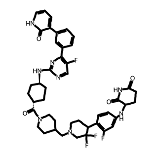 O=C1CCC(Nc2ccc(C3CCN(CC4CCN(C(=O)[C@H]5CC[C@H](Nc6ncc(F)c(-c7cccc(-c8ccc[nH]c8=O)c7)n6)CC5)CC4)CC3(F)F)c(F)c2)C(=O)N1